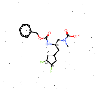 CN(C[C@@H](CC1C[C@@H](F)[C@@H](F)C1)NC(=O)OCc1ccccc1)C(=O)O